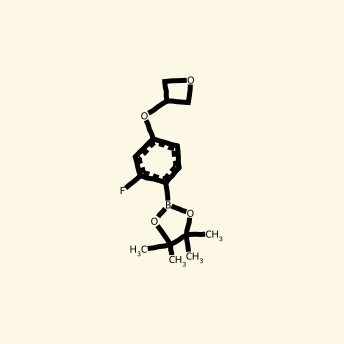 CC1(C)OB(c2ccc(OC3COC3)cc2F)OC1(C)C